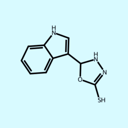 SC1=NNC(c2c[nH]c3ccccc23)O1